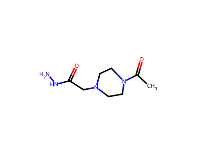 CC(=O)N1CCN(CC(=O)NN)CC1